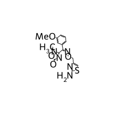 COc1cccc(C(=NOCc2csc(N)n2)c2nc(=O)on2C)c1